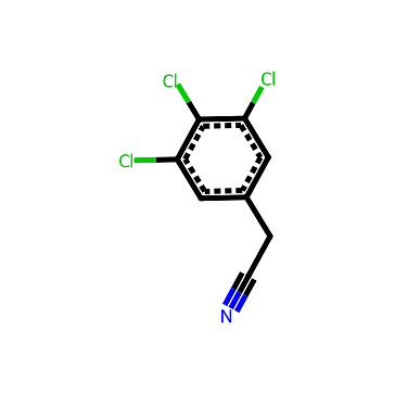 N#CCc1cc(Cl)c(Cl)c(Cl)c1